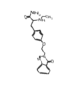 CCNC(Cc1ccc(OCCn2cnc3ccccc3c2=O)cc1)C(N)=O